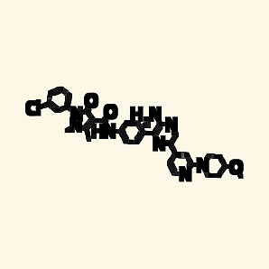 COC1CCN(c2cc(-c3cnc(N)c(-c4ccc(NC(=O)c5c(C)n(C)n(-c6cccc(Cl)c6)c5=O)cc4)n3)ccn2)CC1